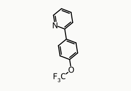 FC(F)(F)Oc1ccc(-c2ccccn2)cc1